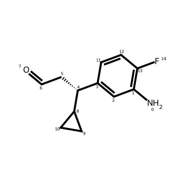 Nc1cc([C@@H](CC=O)C2CC2)ccc1F